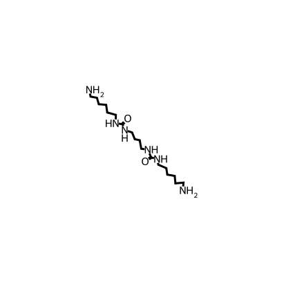 NCCCCCCNC(=O)NCCCCNC(=O)NCCCCCCN